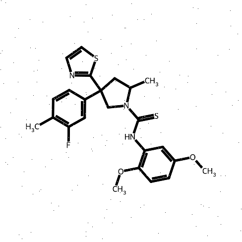 COc1ccc(OC)c(NC(=S)N2CC(c3ccc(C)c(F)c3)(c3nccs3)CC2C)c1